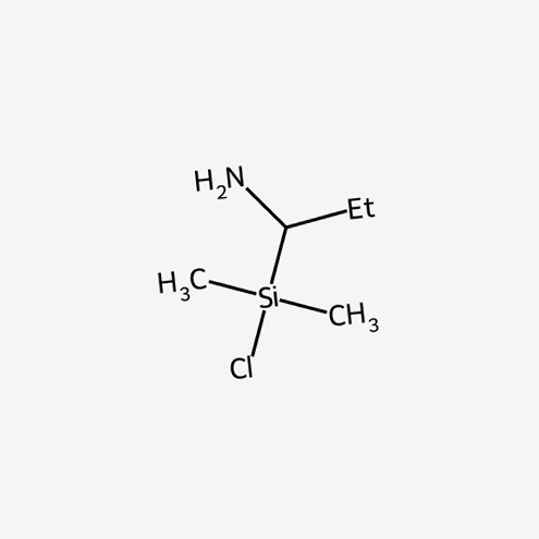 CCC(N)[Si](C)(C)Cl